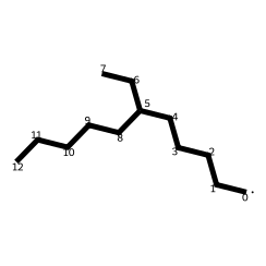 [CH2]CCCCC(CC)CCCCC